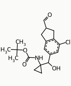 CC(C)(C)OC(=O)NC1(C(O)c2cc(Cl)c3c(c2)CC(C=O)C3)CC1